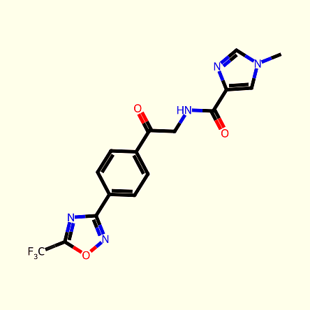 Cn1cnc(C(=O)NCC(=O)c2ccc(-c3noc(C(F)(F)F)n3)cc2)c1